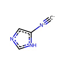 [C-]#[N+]c1cnc[nH]1